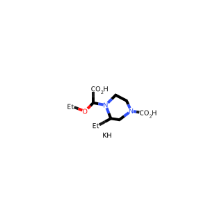 CCOC(C(=O)O)N1CCN(C(=O)O)CC1CC.[KH]